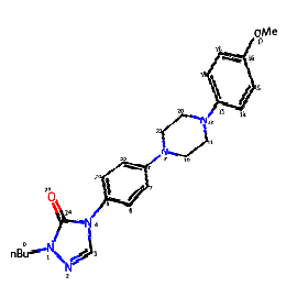 CCCCn1ncn(-c2ccc(N3CCN(c4ccc(OC)cc4)CC3)cc2)c1=O